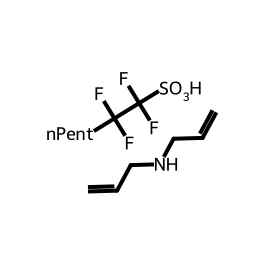 C=CCNCC=C.CCCCCC(F)(F)C(F)(F)S(=O)(=O)O